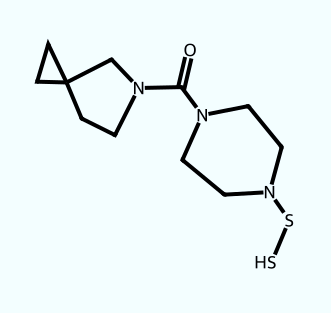 O=C(N1CCN(SS)CC1)N1CCC2(CC2)C1